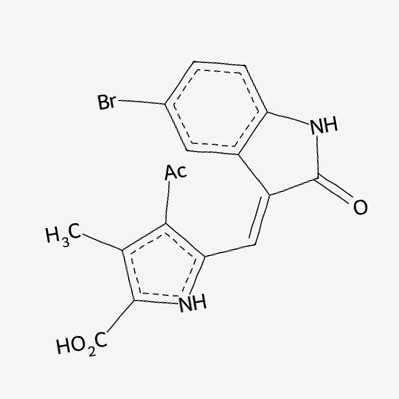 CC(=O)c1c(C=C2C(=O)Nc3ccc(Br)cc32)[nH]c(C(=O)O)c1C